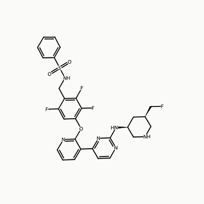 O=S(=O)(NCc1c(F)cc(Oc2ncccc2-c2ccnc(N[C@@H]3CNC[C@H](CF)C3)n2)c(F)c1F)c1ccccc1